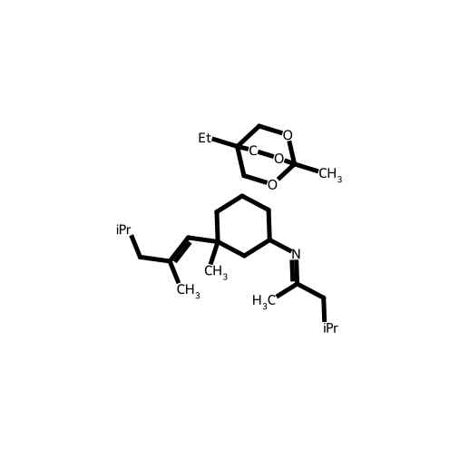 C/C(=C\C1(C)CCCC(/N=C(\C)CC(C)C)C1)CC(C)C.CCC12COC(C)(OC1)OC2